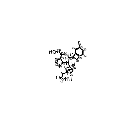 CS(=N)(=O)CC12C[C@@H](Nc3nonc3/C(=N\O)NCC3Cc4ccc(F)cc43)C3C1C32